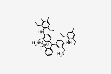 CCc1cc(C)cc(CC)c1Nc1ccc(C(c2ccc(Nc3c(CC)cc(C)c(C)c3CC)c(CN)c2)c2ccccc2S(=O)(=O)O)cc1CN